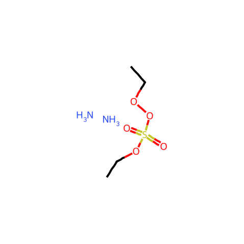 CCOOS(=O)(=O)OCC.N.N